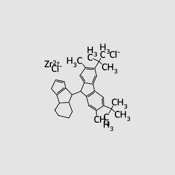 Cc1cc2c(cc1C(C)(C)C)-c1cc(C(C)(C)C)c(C)cc1C2C1C2=C(CC=C2)C2CCCCC21.[Cl-].[Cl-].[Zr+2]